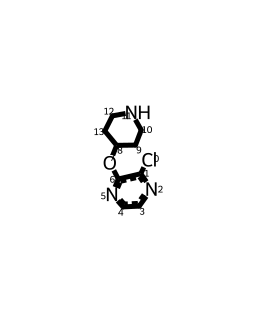 Clc1nccnc1OC1C[CH]NCC1